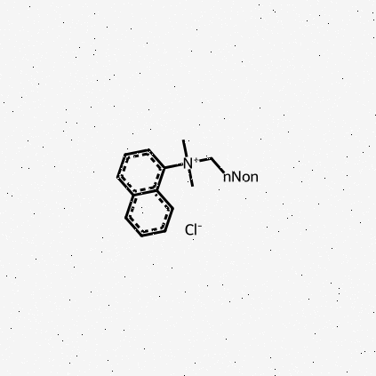 CCCCCCCCCC[N+](C)(C)c1cccc2ccccc12.[Cl-]